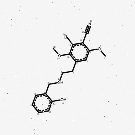 COc1cc(CCNCc2ccccc2O)c(OC)c(Cl)c1C#N